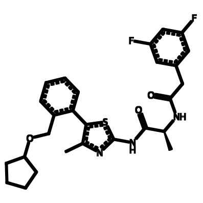 Cc1nc(NC(=O)[C@H](C)NC(=O)Cc2cc(F)cc(F)c2)sc1-c1ccccc1COC1CCCC1